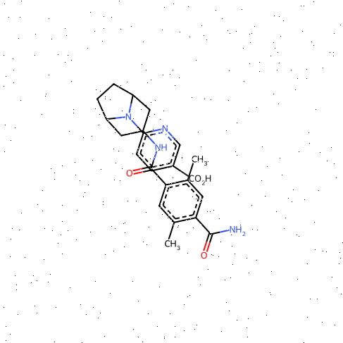 Cc1cc(C(=O)NC2CC3CCC(C2)N3c2ccc(C(=O)O)cn2)c(C)cc1C(N)=O